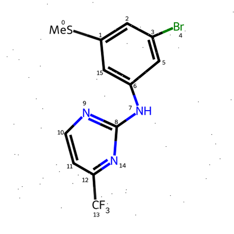 CSc1cc(Br)cc(Nc2nccc(C(F)(F)F)n2)c1